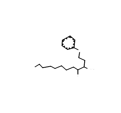 CCOC(=O)CCCCCCCC(C(C)=O)C(CCOc1ccccc1)OC